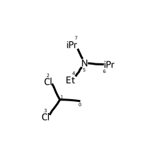 CC(Cl)Cl.CCN(C(C)C)C(C)C